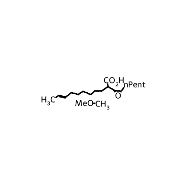 CC=CCCCCCCC(C(=O)O)C1OC1CCCCC.COC